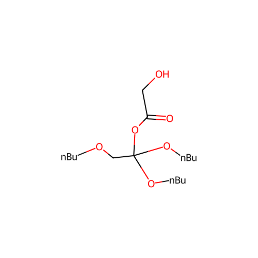 CCCCOCC(OCCCC)(OCCCC)OC(=O)CO